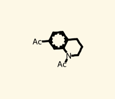 CC(=O)c1ccc2c(c1)N(C(C)=O)CCC2